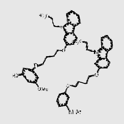 CC(=O)Nc1cccc(OCCCCOc2ccc3c4ccccc4n(CCC(=O)O)c3c2)c1.COc1cc(O)cc(OCCCCOc2ccc3c4ccccc4n(CCC(=O)O)c3c2)c1